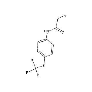 O=C(CF)Nc1ccc(SC(F)(F)F)cc1